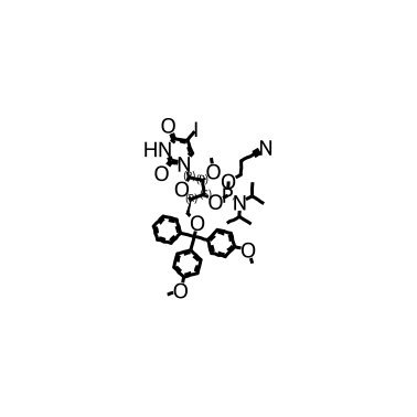 COc1ccc(C(OC[C@H]2O[C@@H](n3cc(I)c(=O)[nH]c3=O)[C@H](OC)[C@H]2OP(OCCC#N)N(C(C)C)C(C)C)(c2ccccc2)c2ccc(OC)cc2)cc1